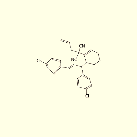 C=CCC(C#N)(C#N)C1=CCCCC1C(/C=C/c1ccc(Cl)cc1)c1ccc(Cl)cc1